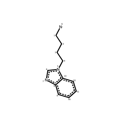 [N]CCCCn1cnc2ccccc21